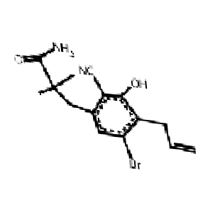 C=CCc1c(Br)cc(CC(C)(C)C(N)=O)c(C#N)c1O